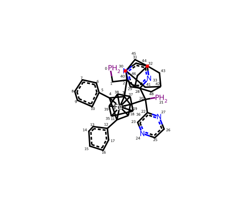 PCC1([C]23[C]4(c5ccccc5)[C]5(c6ccccc6)[CH]6[C]2(C(P)(c2cnccn2)c2cnccn2)[Fe]65432789[CH]3[CH]2[CH]7[CH]8[CH]39)C2CC3CC(C2)CC1C3